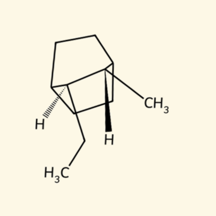 CC[C@H]1C2CCC(CC2)[C@@H]1C